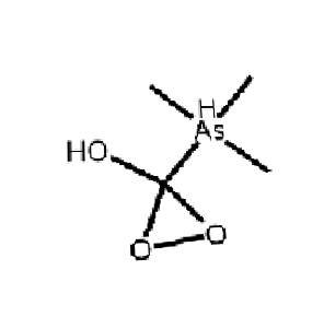 C[AsH](C)(C)C1(O)OO1